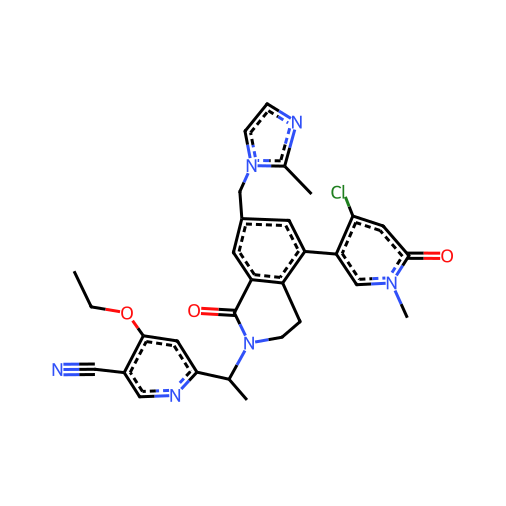 CCOc1cc(C(C)N2CCc3c(cc(Cn4ccnc4C)cc3-c3cn(C)c(=O)cc3Cl)C2=O)ncc1C#N